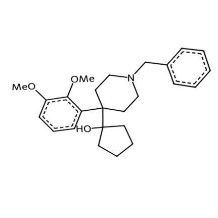 COc1cccc(C2(C3(O)CCCC3)CCN(Cc3ccccc3)CC2)c1OC